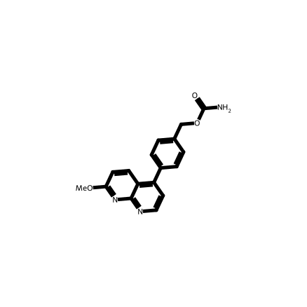 COc1ccc2c(-c3ccc(COC(N)=O)cc3)ccnc2n1